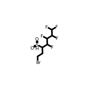 O=[SH](=O)C(CCBr)C(F)C(F)C(F)C(F)F